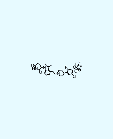 Cc1nn(C2CCC(=O)NC2=O)c2cccc(CCN3CCC(c4cc(Cl)c(OS(=O)(=O)C(F)(F)F)cc4F)CC3)c12